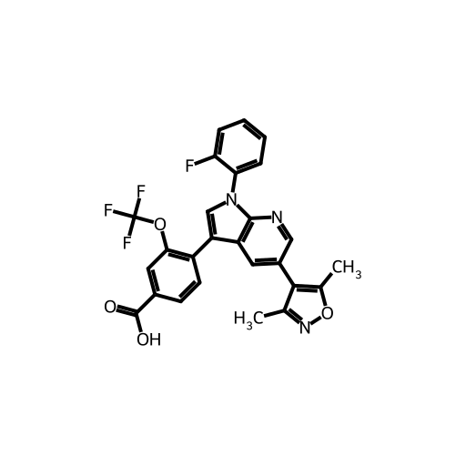 Cc1noc(C)c1-c1cnc2c(c1)c(-c1ccc(C(=O)O)cc1OC(F)(F)F)cn2-c1ccccc1F